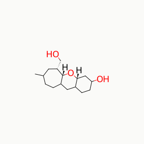 CC1CCC2CC3CCC(O)C[C@H]3O[C@H]2[C@@H](CO)C1